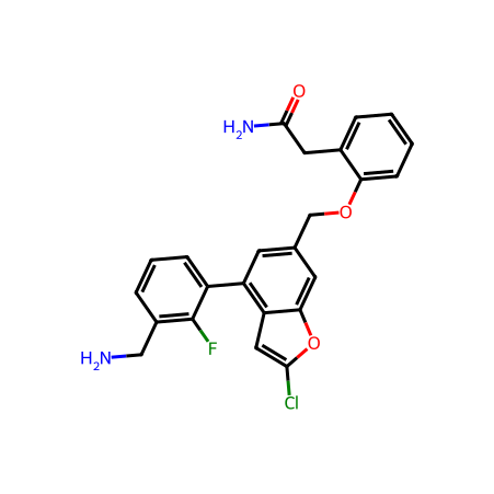 NCc1cccc(-c2cc(COc3ccccc3CC(N)=O)cc3oc(Cl)cc23)c1F